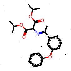 CC(=NC(C(=O)OC(C)C)C(=O)OC(C)C)c1cccc(Oc2ccccc2)c1